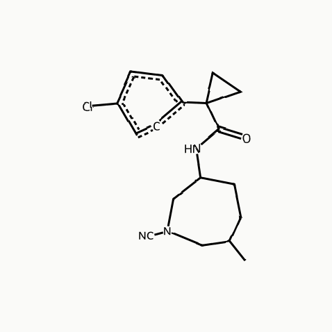 CC1CCC(NC(=O)C2(c3ccc(Cl)cc3)CC2)CN(C#N)C1